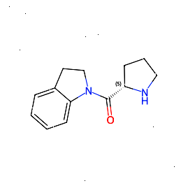 O=C([C@@H]1CCCN1)N1CCc2ccccc21